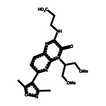 COCC(COC)n1c(=O)c(NCCC(=O)O)nc2ccc(-c3c(C)noc3C)nc21